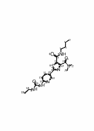 CCCCNC(=O)c1sc(-c2ccc(NC(=O)NCC)nc2)nc1C(=O)N(C)C